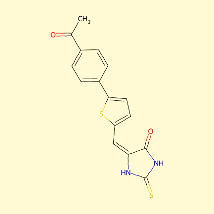 CC(=O)c1ccc(-c2ccc(/C=C3/NC(=S)NC3=O)s2)cc1